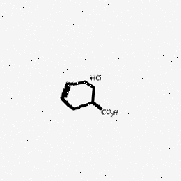 Cl.O=C(O)C1CC=CCC1